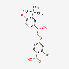 CC(C)(C)c1cc(C(O)COc2ccc(C(=O)O)c(O)c2)ccc1O